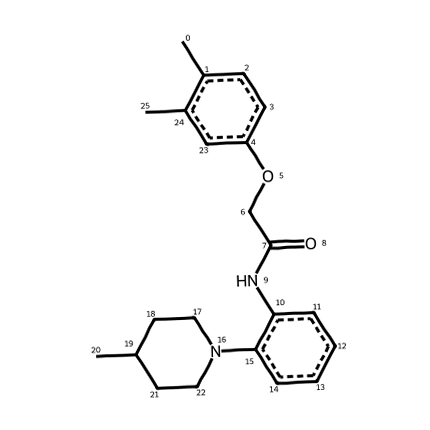 Cc1ccc(OCC(=O)Nc2ccccc2N2CCC(C)CC2)cc1C